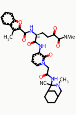 CNC(=O)C(=O)CC[C@H](NC(=O)c1oc2ccccc2c1C)C(=O)Nc1cccn(CC(=O)NC2(C#N)C3CCCC(C3)CN2C)c1=O